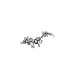 CCc1cc(Nc2nccn3c(-c4c[nH]nc4C(F)(F)F)cnc23)ccc1C(=O)NCCNC(=O)[C@H]1CC[C@@H](N)C1